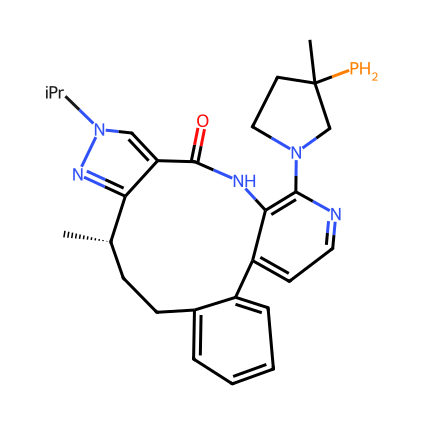 CC(C)n1cc2c(n1)[C@@H](C)CCc1ccccc1-c1ccnc(N3CCC(C)(P)C3)c1NC2=O